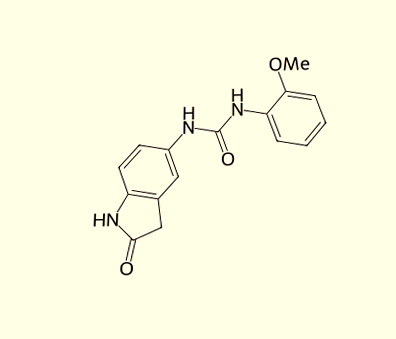 COc1ccccc1NC(=O)Nc1ccc2c(c1)CC(=O)N2